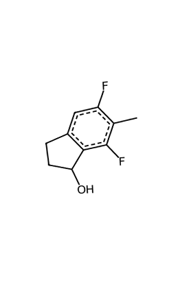 Cc1c(F)cc2c(c1F)C(O)CC2